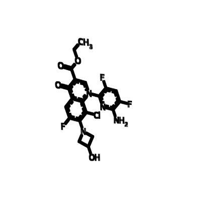 CCOC(=O)c1cn(-c2nc(N)c(F)cc2F)c2c(Cl)c(N3CC(O)C3)c(F)cc2c1=O